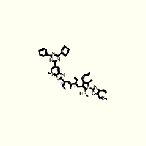 C=C/C=C\c1c(/C=C(C=C)/C(C)=C/C(=C\C)c2nc(=C/C(=C\C)c3nc(-c4ccccc4)nc(-c4ccccc4)n3)/c(=B\C)s2)c(BC)n(-c2nc(C=C)c(/C=B\C)o2)c1C